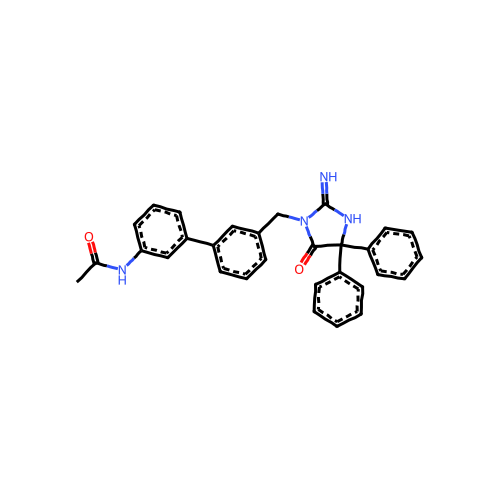 CC(=O)Nc1cccc(-c2cccc(CN3C(=N)NC(c4ccccc4)(c4ccccc4)C3=O)c2)c1